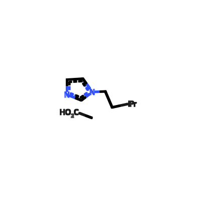 CC(=O)O.CC(C)CCn1ccnc1